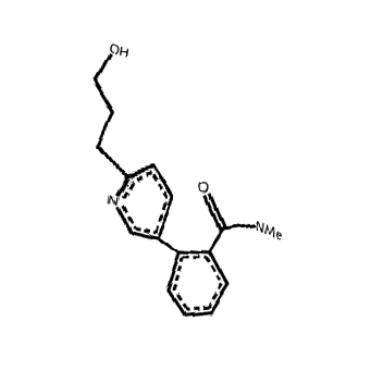 CNC(=O)c1ccccc1-c1ccc(CCCO)nc1